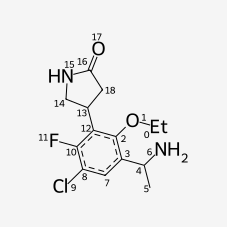 CCOc1c(C(C)N)cc(Cl)c(F)c1C1CNC(=O)C1